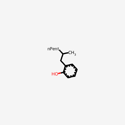 CCCCCC(C)Cc1ccccc1O